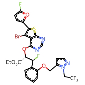 CCOC(=O)[C@H](Oc1ncnc2sc(-c3ccc(F)o3)c(Br)c12)[C@@H](F)c1ccccc1OCc1ccnn1CC(F)(F)F